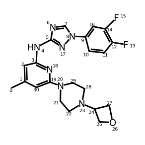 Cc1cc(Nc2ncn(-c3ccc(F)c(F)c3)n2)nc(N2CCN(C3COC3)CC2)c1